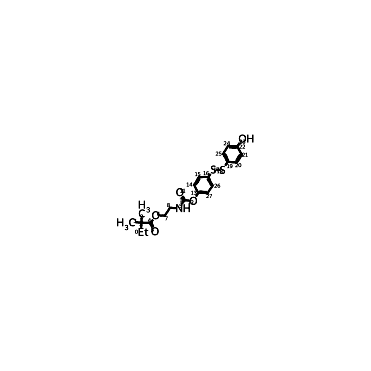 CCC(C)(C)C(=O)OCCNC(=O)Oc1ccc(SSc2ccc(O)cc2)cc1